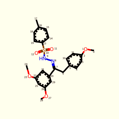 COc1ccc(CC(=NNS(=O)(=O)c2ccc(C)cc2)c2cc(OC)cc(OC)c2)cc1